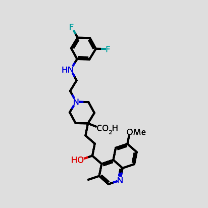 COc1ccc2ncc(C)c(C(O)CCC3(C(=O)O)CCN(CCNc4cc(F)cc(F)c4)CC3)c2c1